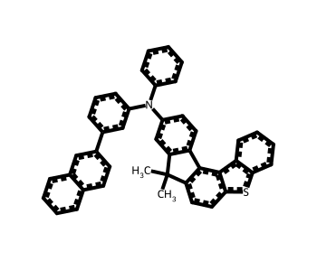 CC1(C)c2cc(N(c3ccccc3)c3cccc(-c4ccc5ccccc5c4)c3)ccc2-c2c1ccc1sc3ccccc3c21